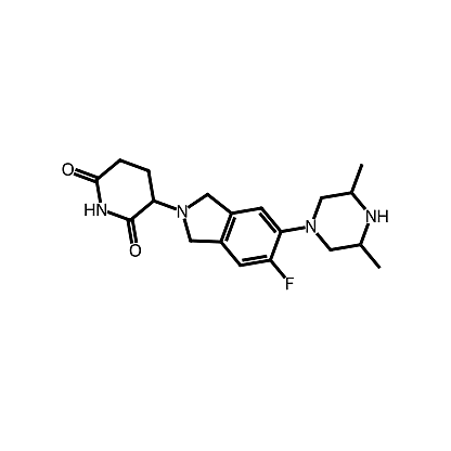 CC1CN(c2cc3c(cc2F)CN(C2CCC(=O)NC2=O)C3)CC(C)N1